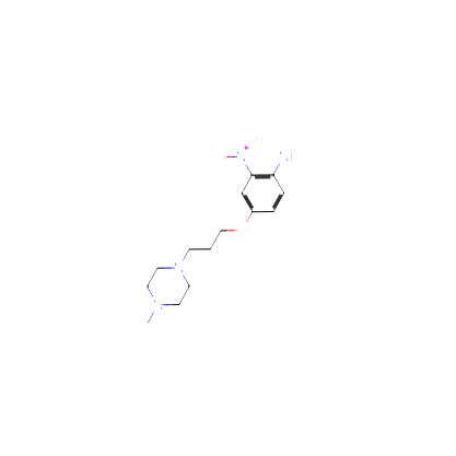 CN1CCN(CCCOc2ccc(N)c([N+](=O)[O-])c2)CC1